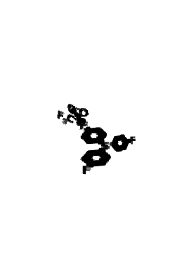 Fc1ccc([S+](c2ccc(F)cc2)c2ccc(F)cc2)cc1.O=S(=O)([O-])C(F)(F)F